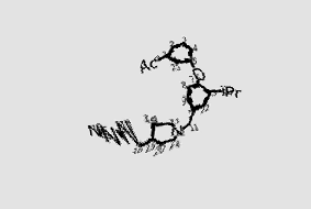 CC(=O)c1cccc(Oc2ccc(CN3CCC(CN=[N+]=[N-])CC3)cc2C(C)C)c1